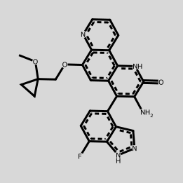 COC1(COc2cc3c(-c4ccc(F)c5[nH]ncc45)c(N)c(=O)[nH]c3c3cccnc23)CC1